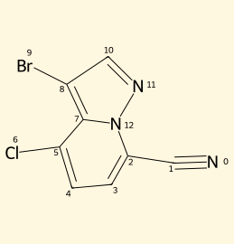 N#Cc1ccc(Cl)c2c(Br)cnn12